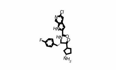 N[C@H]1CCC(C(=O)[C@H](Cc2ccc(F)cc2)NC(=O)c2cc3cc(Cl)ncc3[nH]2)C1